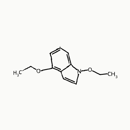 CCOc1c[c]cc2c1ccn2OCC